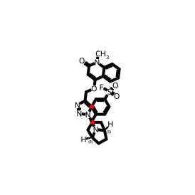 Cn1c(=O)cc(OCc2cn(C3C[C@H]4CC[C@@H](C3)N4Cc3ccc(S(=O)(=O)F)cc3)nn2)c2ccccc21